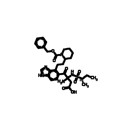 CC[C@H](C)S(=O)(=O)NC(N)(CC(=O)O)C(=O)c1ccc2[nH]cnc2c1CCC1CCCCN1C(=O)OCc1ccccc1